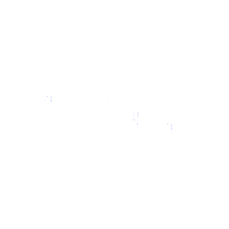 COC(=O)C1=C(C)NC(C)=C(C(=O)OC)C1c1cccc(Nc2nc(C)cs2)c1